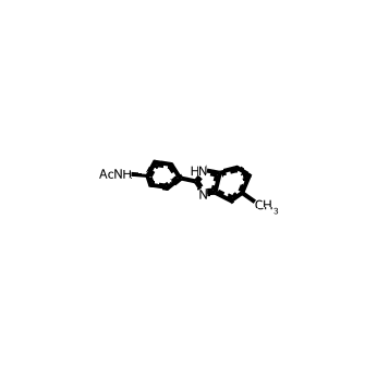 CC(=O)Nc1ccc(-c2nc3cc(C)ccc3[nH]2)cc1